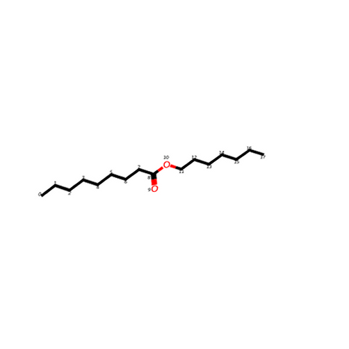 CCCCCCCCC(=O)OCCCCCCC